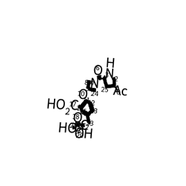 CC(=O)[C@@H]1CN[C@H](C(=O)N2CC(Oc3ccc4c(c3C(=O)O)O[B-](O)(O)CC4)C2)C1